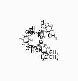 Cc1cccc(C)c1-c1cc2nc(n1)NS(=O)(=O)c1cccc(c1)C(=O)N[C@H](C)[C@@H](c1ccc(C(C)(C)C)cc1)O2